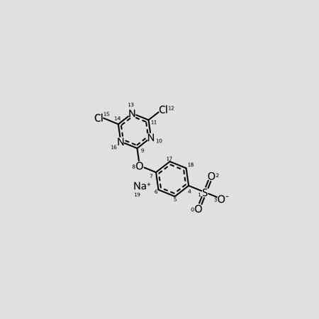 O=S(=O)([O-])c1ccc(Oc2nc(Cl)nc(Cl)n2)cc1.[Na+]